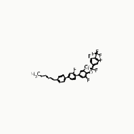 CCCCCCc1ccc(-c2ccc(-c3cc(F)c(OC(F)(F)c4cc(F)c(C(F)(F)F)c(F)c4)c(Cl)c3)c(F)c2)cc1